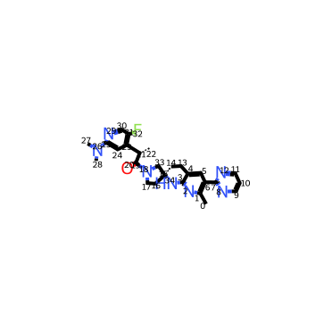 Cc1nc2c(cc1-c1ncccn1)CC[C@@]1(CCN(C(=O)[C@@H](C)c3cc(N(C)C)ncc3F)C1)N2